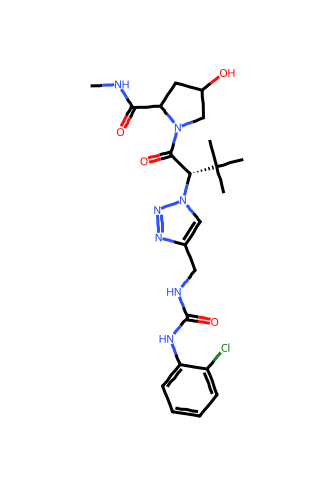 CNC(=O)C1CC(O)CN1C(=O)[C@@H](n1cc(CNC(=O)Nc2ccccc2Cl)nn1)C(C)(C)C